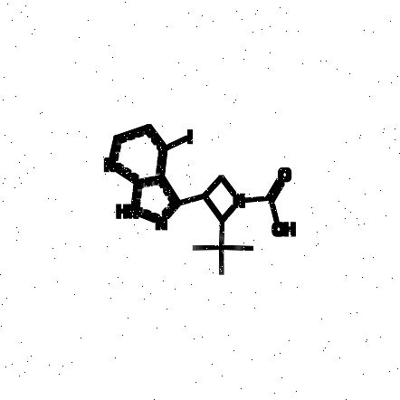 CC(C)(C)C1C(c2n[nH]c3nccc(I)c23)CN1C(=O)O